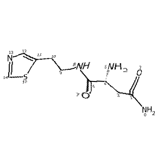 NC(=O)C[C@@H](N)C(=O)NCCc1cncs1